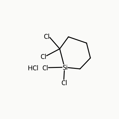 Cl.ClC1(Cl)CCCC[Si]1(Cl)Cl